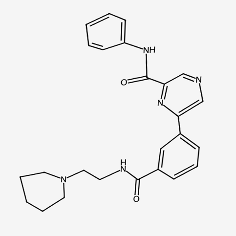 O=C(NCCN1CCCCC1)c1cccc(-c2cncc(C(=O)Nc3ccccc3)n2)c1